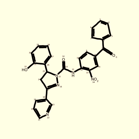 O=C(c1ccccc1)c1ccc(NC(=O)N2N=C(c3cccnc3)CC2c2ccccc2O)c([N+](=O)[O-])c1